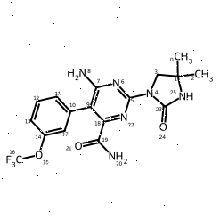 CC1(C)CN(c2nc(N)c(-c3cccc(OC(F)(F)F)c3)c(C(N)=O)n2)C(=O)N1